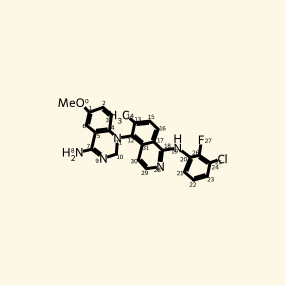 COc1ccc2c(c1)C(N)=NCN2c1c(C)ccc2c(Nc3cccc(Cl)c3F)nccc12